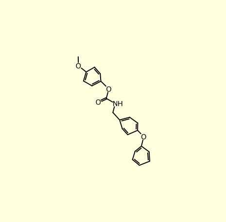 COc1ccc(OC(=O)NCc2ccc(Oc3ccccc3)cc2)cc1